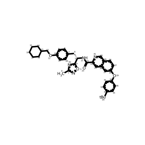 Cc1noc([C@H](Cc2ccc(OCC3CCCCC3)cc2)NC(=O)c2cc3cc(Oc4ccc(C(C)(C)C)cc4)ccc3cn2)n1